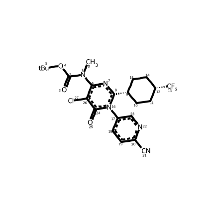 CN(C(=O)OC(C)(C)C)c1nc([C@H]2CC[C@@H](C(F)(F)F)CC2)n(-c2ccc(C#N)nc2)c(=O)c1Cl